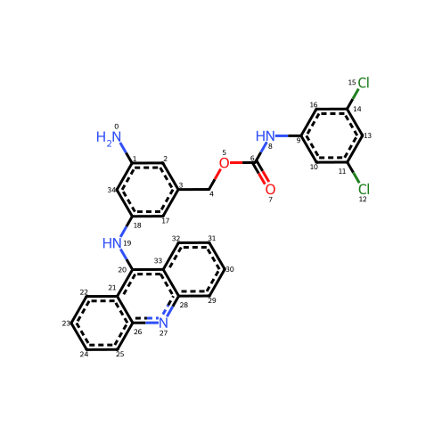 Nc1cc(COC(=O)Nc2cc(Cl)cc(Cl)c2)cc(Nc2c3ccccc3nc3ccccc23)c1